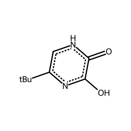 CC(C)(C)c1c[nH]c(=O)c(O)n1